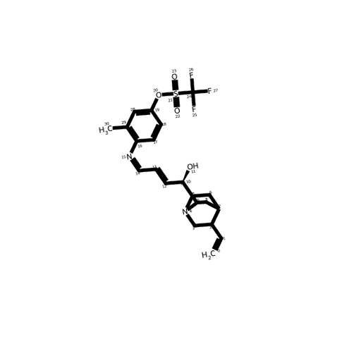 C=CC1CN2CCC1CC2[C@H](O)/C=C/C=N\c1ccc(OS(=O)(=O)C(F)(F)F)cc1C